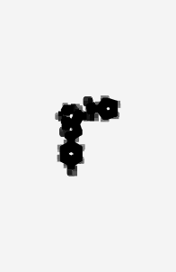 O=C(Nc1ncnc2c1CC(c1ccc(Cl)cc1)O2)C1CCCC1